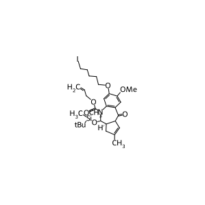 C=CCOC(=O)N1c2cc(OCCCCCI)c(OC)cc2C(=O)C2C=C(C)C[C@H]2C1O[Si](C)(C)C(C)(C)C